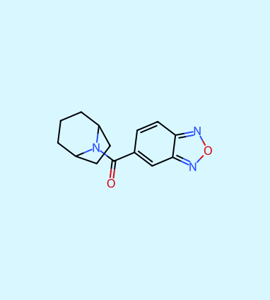 O=C(c1ccc2nonc2c1)N1C2CCCC1CC2